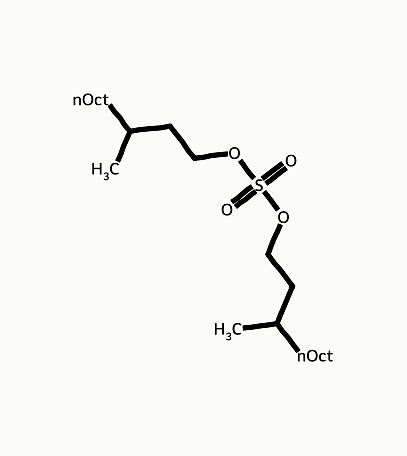 CCCCCCCCC(C)CCOS(=O)(=O)OCCC(C)CCCCCCCC